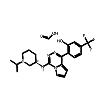 CC(C)N1CCC[C@@H](Nc2nnc(-c3ccc(C(F)(F)F)cc3O)c3cccn23)C1.O=CO